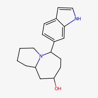 OC1CCC(c2ccc3cc[nH]c3c2)N2CCCCC2C1